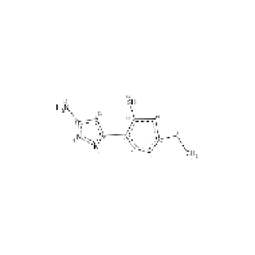 CCc1ccc(-c2nnc(N)s2)c(S)c1